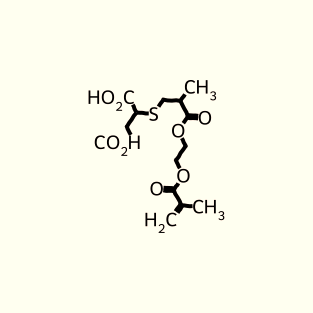 C=C(C)C(=O)OCCOC(=O)C(C)CSC(CC(=O)O)C(=O)O